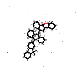 CC1(C)c2ccccc2-c2ccc(-c3c4ccccc4c(-c4cc5c6ccccc6oc5c5ccccc45)c4ccccc34)cc21